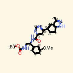 COc1cccc(C(CNC(=O)OC(C)(C)C)NC(=O)c2cc(-c3ccc4[nH]nc(C)c4c3)ncn2)c1